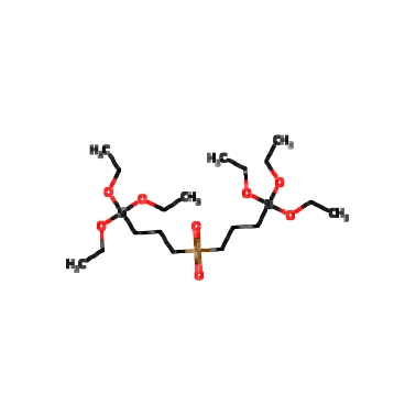 CCO[Si](CCCS(=O)(=O)CCC[Si](OCC)(OCC)OCC)(OCC)OCC